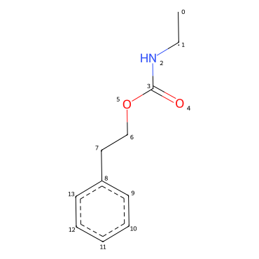 C[CH]NC(=O)OCCc1ccccc1